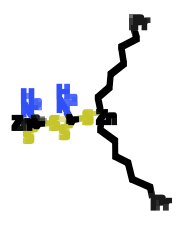 CC(C)CCCCC[CH2][Zn][CH2]CCCCCC(C)C.NC(=S)[S-].NC(=S)[S-].[Zn+2]